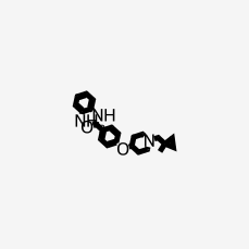 CC1(CN2CCC(Oc3ccc(C(=O)Nc4ccccc4N)cc3)CC2)CC1